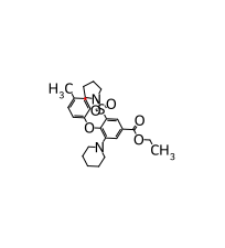 CCOC(=O)c1cc(N2CCCCC2)c(Oc2ccc(C)cc2)c(S(=O)(=O)N2CCCC2)c1